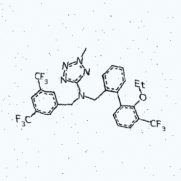 CCOc1c(-c2ccccc2CN(Cc2cc(C(F)(F)F)cc(C(F)(F)F)c2)c2nnn(C)n2)cccc1C(F)(F)F